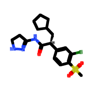 CS(=O)(=O)c1ccc([C@@H](CC2CCCC2)C(=O)NC2=NNCC2)cc1Cl